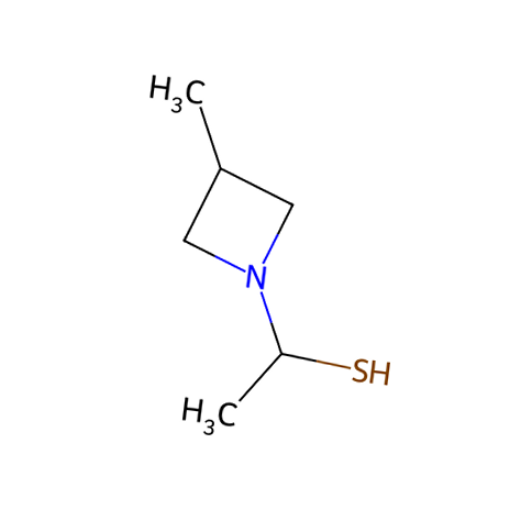 CC1CN(C(C)S)C1